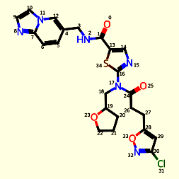 O=C(NCc1ccc2nccn2c1)c1cnc(N(CC2CCCO2)C(=O)CCc2cc(Cl)no2)s1